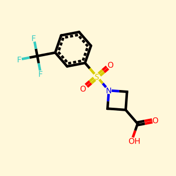 O=C(O)C1CN(S(=O)(=O)c2cccc(C(F)(F)F)c2)C1